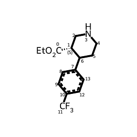 CCOC(=O)[C@@H]1CNCCC1c1ccc(C(F)(F)F)cc1